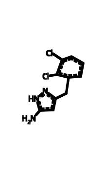 Nc1cc(Cc2cccc(Cl)c2Cl)n[nH]1